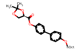 CCCCCCCCOc1ccc(-c2ccc(OC(=O)[C@H]3COC(C)(C)O3)cc2)cc1